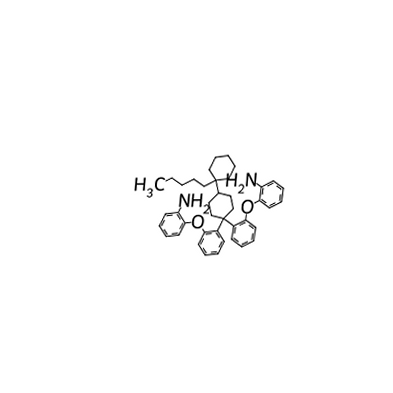 CCCCCC1(C2CCC(c3ccccc3Oc3ccccc3N)(c3ccccc3Oc3ccccc3N)CC2)CCCCC1